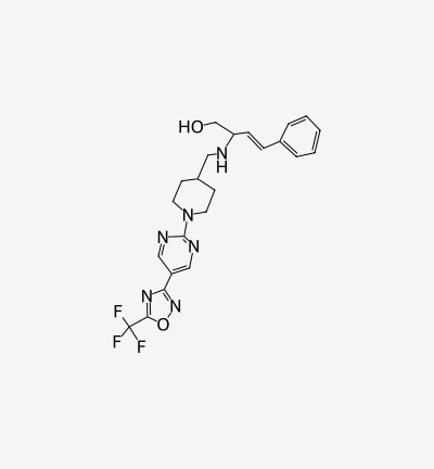 OCC(C=Cc1ccccc1)NCC1CCN(c2ncc(-c3noc(C(F)(F)F)n3)cn2)CC1